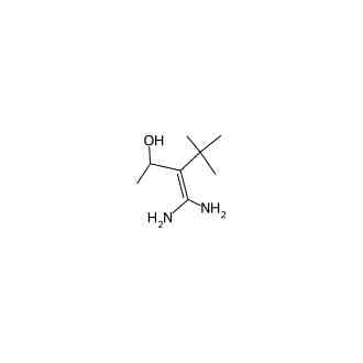 CC(O)C(=C(N)N)C(C)(C)C